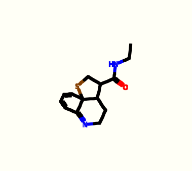 CCNC(=O)C1CSC23C=CC=CC2=NCCC13